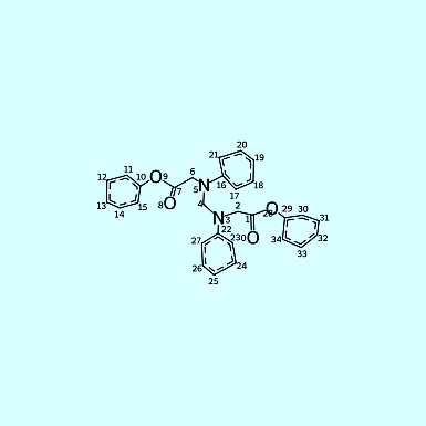 O=C(CN(CN(CC(=O)Oc1ccccc1)c1ccccc1)c1ccccc1)Oc1ccccc1